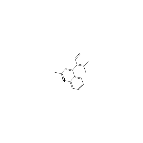 C=CC(=C(C)C)c1cc(C)nc2ccccc12